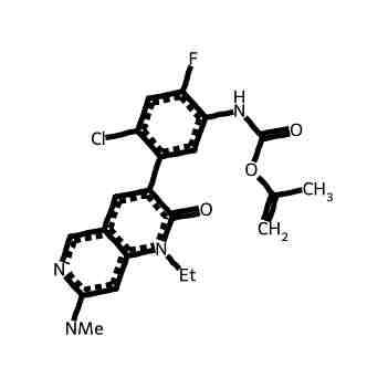 C=C(C)OC(=O)Nc1cc(-c2cc3cnc(NC)cc3n(CC)c2=O)c(Cl)cc1F